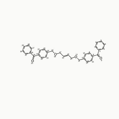 O=C(c1ccccc1)c1ccc(COCC=CCOCc2ccc(C(=O)c3ccccc3)cc2)cc1